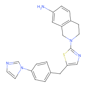 Nc1ccc2c(c1)CN(c1ncc(Cc3ccc(-n4ccnc4)cc3)s1)CC2